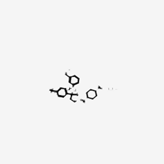 COC(=O)[C@H]1CC[C@H](C(=O)N2CCC(c3ccc(C(F)(C(F)(F)F)C(F)(F)F)cc3)(S(=O)(=O)c3cccc(CO)c3)C2)CC1